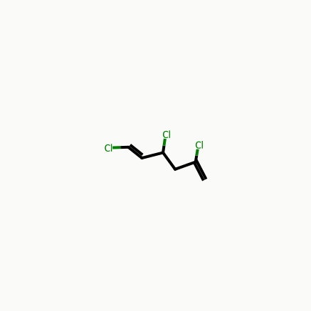 C=C(Cl)CC(Cl)/C=C/Cl